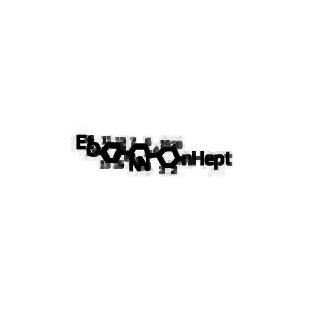 CCCCCCCC1CCC(c2ccc(-c3ccc(OCC)cc3)nn2)CC1